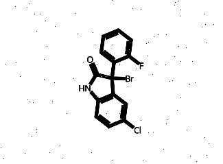 O=C1Nc2ccc(Cl)cc2C1(Br)c1ccccc1F